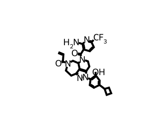 C=CC(=O)N1CCc2nn(-c3ccc(C4CCC4)cc3O)c3c2C(C1)N(C(=O)c1ccc(C(F)(F)F)nc1N)CC3